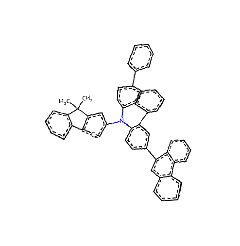 CC1(C)c2ccccc2-c2ccc(N(c3ccc(-c4ccccc4)cc3)c3ccc(-c4cc5ccccc5c5ccccc45)cc3-c3ccccc3)cc21